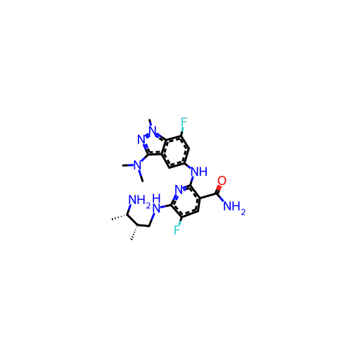 C[C@H](N)[C@@H](C)CNc1nc(Nc2cc(F)c3c(c2)c(N(C)C)nn3C)c(C(N)=O)cc1F